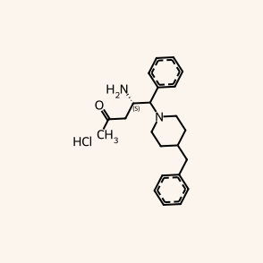 CC(=O)C[C@H](N)C(c1ccccc1)N1CCC(Cc2ccccc2)CC1.Cl